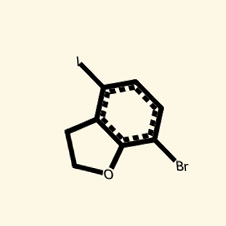 Brc1ccc(I)c2c1OCC2